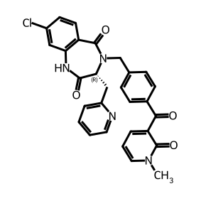 Cn1cccc(C(=O)c2ccc(CN3C(=O)c4ccc(Cl)cc4NC(=O)[C@H]3Cc3ccccn3)cc2)c1=O